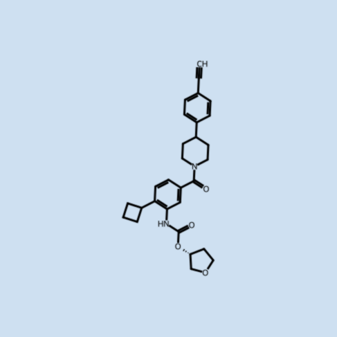 C#Cc1ccc(C2CCN(C(=O)c3ccc(C4CCC4)c(NC(=O)O[C@@H]4CCOC4)c3)CC2)cc1